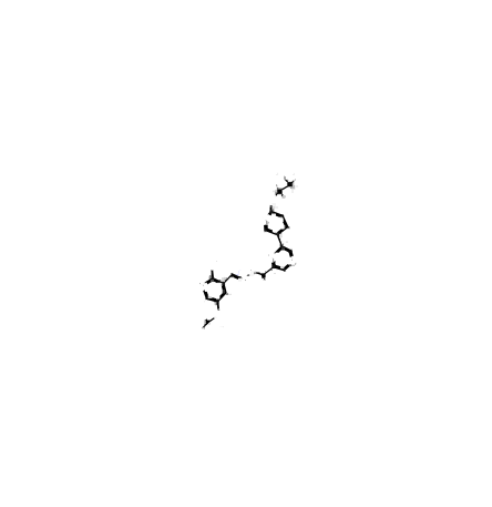 [2H]C([2H])([2H])Oc1cnc(F)c(/C=N/NC(=O)c2cncc(-c3ccc(OC([2H])([2H])C([2H])([2H])[2H])nc3)n2)c1